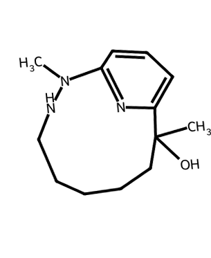 CN1NCCCCCC(C)(O)c2cccc1n2